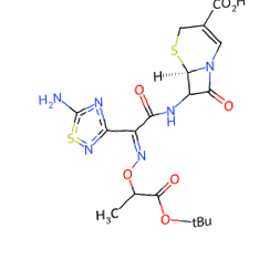 CC(ON=C(C(=O)NC1C(=O)N2C=C(C(=O)O)CS[C@H]12)c1nsc(N)n1)C(=O)OC(C)(C)C